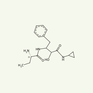 CC[C@H](N)C(=O)NC(Cc1ccccc1)C(O)C(=O)NC1CC1